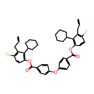 C=CCc1c(F)ccc(OC(=O)c2ccc(Oc3ccc(C(=O)Oc4ccc(F)c(CC=C)c4C4CCCCC4)cc3)cc2)c1C1CCCCC1